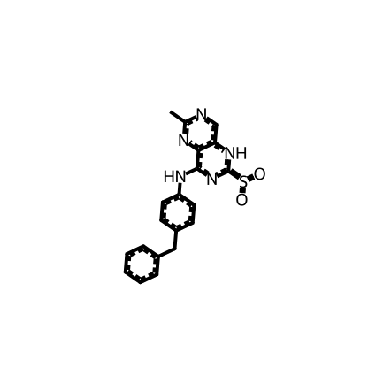 Cc1ncc2[nH]c(=S(=O)=O)nc(Nc3ccc(Cc4ccccc4)cc3)c2n1